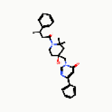 C[C@H](CC(=O)N1CC[C@@](O)(Cn2cnc(-c3ccccc3)cc2=O)CC1(C)C)c1ccccc1